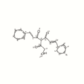 O=C(/C=C/c1ccccc1)C(C(=O)/C=C/c1ccccc1)C(=O)CO